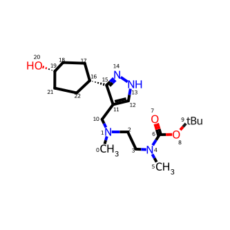 CN(CCN(C)C(=O)OC(C)(C)C)Cc1c[nH]nc1[C@H]1CC[C@@H](O)CC1